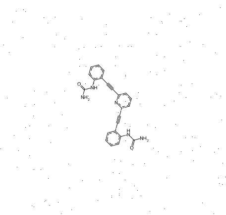 NC(=O)Nc1ccccc1C#Cc1cccc(C#Cc2ccccc2NC(N)=O)n1